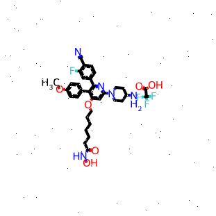 COc1ccc(-c2c(OCCCCCCC(=O)NO)cc(N3CCC(N)CC3)nc2-c2ccc(C#N)c(F)c2)cc1.O=C(O)C(F)(F)F